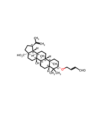 C=C(C)[C@@H]1CC[C@]2(C(=O)O)CC[C@]3(C)[C@H](CC[C@@H]4[C@@]5(C)CC[C@H](OCC=CC=O)C(C)(C)[C@@H]5CC[C@]43C)[C@@H]12